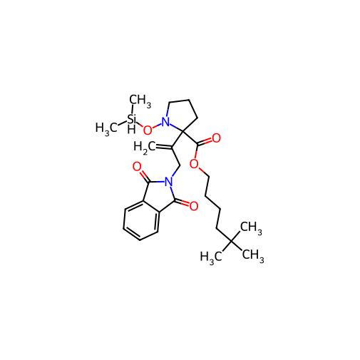 C=C(CN1C(=O)c2ccccc2C1=O)C1(C(=O)OCCCCC(C)(C)C)CCCN1O[SiH](C)C